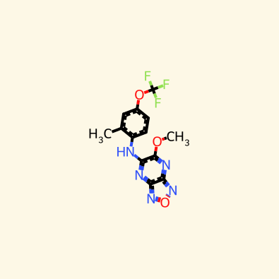 COc1nc2nonc2nc1Nc1ccc(OC(F)(F)F)cc1C